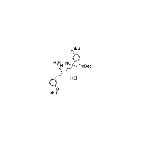 CCCCCCCCCCCCC(C#N)(CCCC(CCc1cccc(OCCCC)c1)N=NC)c1cccc(OCCCC)c1.Cl